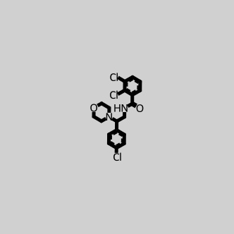 O=C(NCC(c1ccc(Cl)cc1)N1CCOCC1)c1cccc(Cl)c1Cl